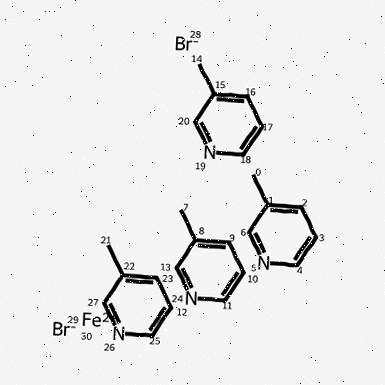 Cc1cccnc1.Cc1cccnc1.Cc1cccnc1.Cc1cccnc1.[Br-].[Br-].[Fe+2]